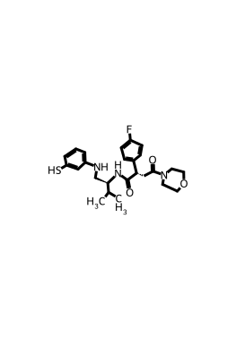 CC(C)[C@@H](CNc1cccc(S)c1)NC(=O)[C@@H](CC(=O)N1CCOCC1)c1ccc(F)cc1